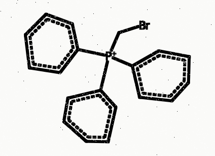 BrC[P+](c1ccccc1)(c1ccccc1)c1ccccc1